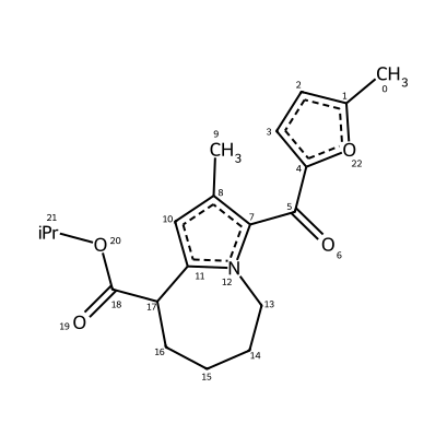 Cc1ccc(C(=O)c2c(C)cc3n2CCCCC3C(=O)OC(C)C)o1